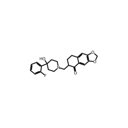 O=C1c2cc3c(cc2CCC1CN1CCC(O)(c2ccccc2F)CC1)OCO3